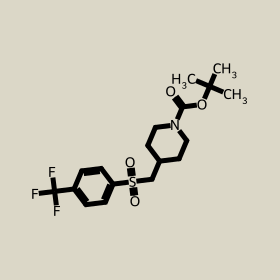 CC(C)(C)OC(=O)N1CCC(CS(=O)(=O)c2ccc(C(F)(F)F)cc2)CC1